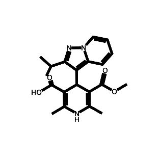 COC(=O)C1=C(C)NC(C)=C(C(=O)O)C1c1c(C(C)C)nn2ccccc12